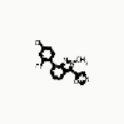 Cn1nc2c(-c3ccc(Cl)cc3Cl)cccc2c1-c1cnco1